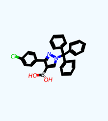 OB(O)c1cn(C(c2ccccc2)(c2ccccc2)c2ccccc2)nc1-c1ccc(Cl)cc1